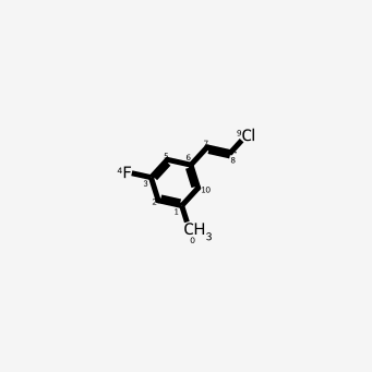 Cc1cc(F)cc(C=[C]Cl)c1